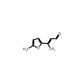 CC(=CC=O)c1ccc(C)o1